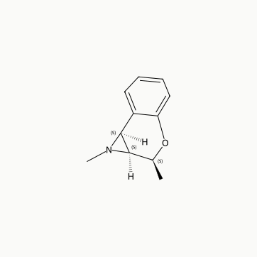 C[C@@H]1Oc2ccccc2[C@H]2[C@@H]1N2C